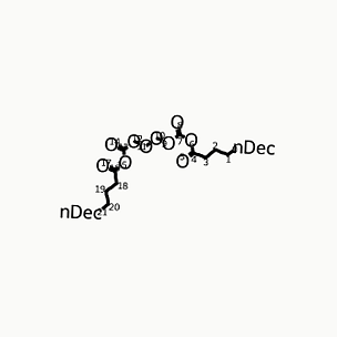 CCCCCCCCCCCCCC(=O)OC(=O)OOOOC(=O)OC(=O)CCCCCCCCCCCCC